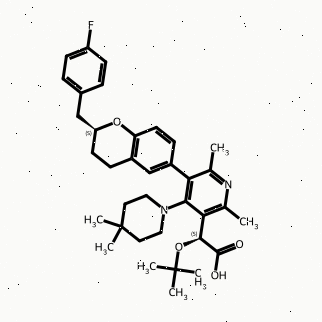 Cc1nc(C)c([C@H](OC(C)(C)C)C(=O)O)c(N2CCC(C)(C)CC2)c1-c1ccc2c(c1)CC[C@@H](Cc1ccc(F)cc1)O2